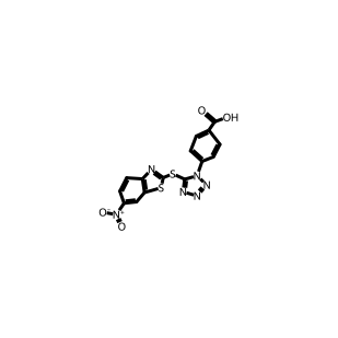 O=C(O)c1ccc(-n2nnnc2Sc2nc3ccc([N+](=O)[O-])cc3s2)cc1